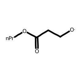 CCCOC(=O)CC[O]